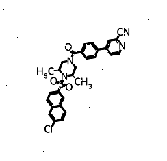 C[C@@H]1CN(C(=O)c2ccc(-c3ccnc(C#N)c3)cc2)C[C@H](C)N1S(=O)(=O)c1ccc2cc(Cl)ccc2c1